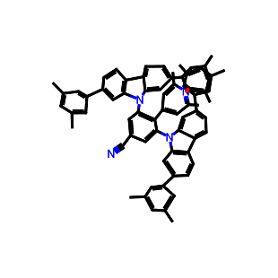 Cc1cc(C)cc(-c2ccc3c4ccc(-c5cc(C)cc(C)c5)cc4n(-c4cc(C#N)cc(-n5c6cc(-c7cc(C)cc(C)c7)ccc6c6ccc(-c7cc(C)cc(C)c7)cc65)c4-c4cc(C)nc(C)c4)c3c2)c1